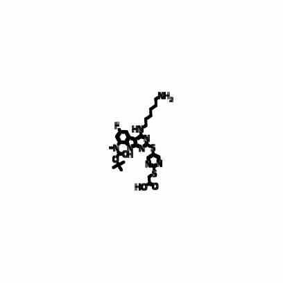 CN(C(=O)OC(C)(C)C)c1cc(F)cc2c1[nH]c1nc(Sc3cnc(SCC(=O)O)nc3)nc(NCCCCCCN)c12